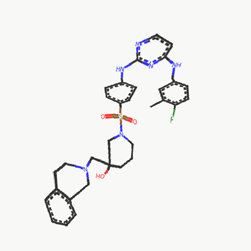 Cc1cc(Nc2ccnc(Nc3ccc(S(=O)(=O)N4CCCC(O)(CN5CCc6ccccc6C5)C4)cc3)n2)ccc1F